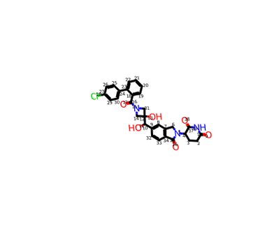 O=C1CCC(N2Cc3cc(C(O)C4(O)CN(C(=O)c5ccccc5-c5ccc(Cl)cc5)C4)ccc3C2=O)C(=O)N1